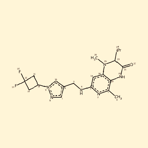 Cc1nc(NCc2cnn(C3CC(F)(F)C3)c2)cc2c1NC(=O)C(C(C)C)N2C